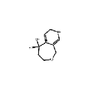 CC[C@]1(O)CCOCC2=CNCC=C21